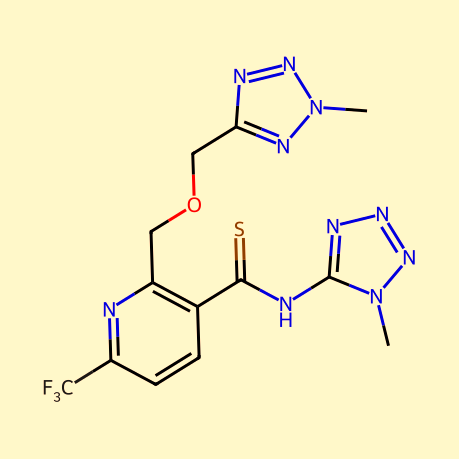 Cn1nnc(COCc2nc(C(F)(F)F)ccc2C(=S)Nc2nnnn2C)n1